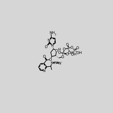 CC(N=[N+]=[N-])c1ncccc1C(=O)OC1C[C@H](n2ccc(N)nc2=O)O[C@@H]1COP(=O)(O)OP(=O)(O)OP(=O)(O)O